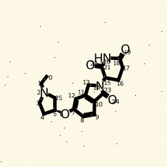 CCN1CC[C@H](Oc2ccc3c(c2)CN(C2CCC(=O)NC2=O)C3=O)C1